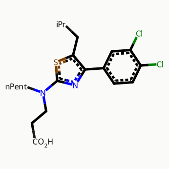 CCCCCN(CCC(=O)O)c1nc(-c2ccc(Cl)c(Cl)c2)c(CC(C)C)s1